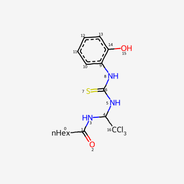 CCCCCCC(=O)NC(NC(=S)Nc1ccccc1O)C(Cl)(Cl)Cl